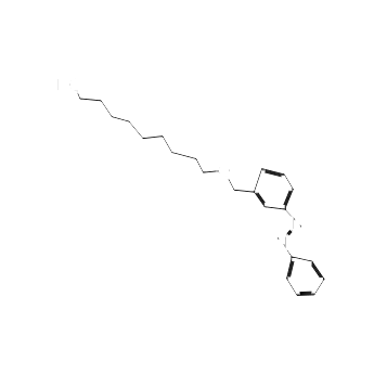 CCCCCCCCCCOCc1cccc(N=Nc2ccccc2)c1